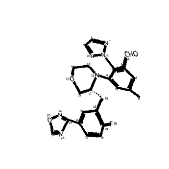 Cc1cc(C=O)c(-n2nccn2)c(N2CCOC[C@H]2Cc2cc(-c3ncon3)ccc2F)c1